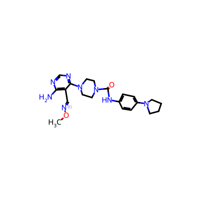 CO/N=C/c1c(N)ncnc1N1CCN(C(=O)Nc2ccc(N3CCCC3)cc2)CC1